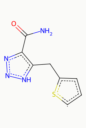 NC(=O)c1nn[nH]c1Cc1cc[c]s1